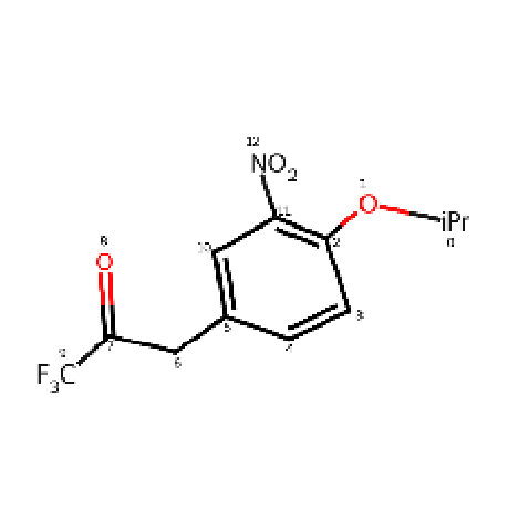 CC(C)Oc1ccc(CC(=O)C(F)(F)F)cc1[N+](=O)[O-]